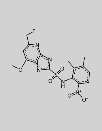 COc1cc(CF)nc2nc(S(=O)(=O)Nc3c([N+](=O)[O-])ccc(C)c3C)nn12